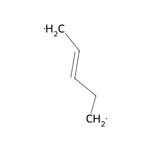 [CH2]C=CC[CH2]